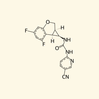 N#Cc1ccc(NC(=O)N[C@@H]2[C@@H]3COc4cc(F)cc(F)c4[C@@H]32)nc1